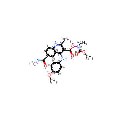 CNC(=O)c1ccc2nc(C)c(C(=O)ON(C)C(=O)OC)c(Nc3ccc(OC)cc3)c2c1